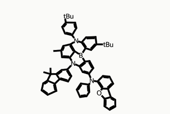 Cc1cc2c3c(c1)N(c1ccc4c(c1)C(C)(C)c1ccccc1-4)c1cc(N(c4ccccc4)c4cccc5c4oc4ccccc45)ccc1B3c1cc(C(C)(C)C)ccc1N2c1ccc(C(C)(C)C)cc1